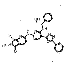 CCCn1c(=O)c2ccc(Nc3ncc(-c4nnc(-c5ccccn5)o4)c(N[C@H](CO)c4ccccc4)n3)nc2n1C(C)C